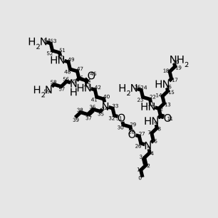 CCC=CCN(CCCNC(=O)C(CCCNCCCN)NCCCN)CCOCCOCCN(CC=CCC)CCCNC(=O)C(CCCNCCCN)NCCCN